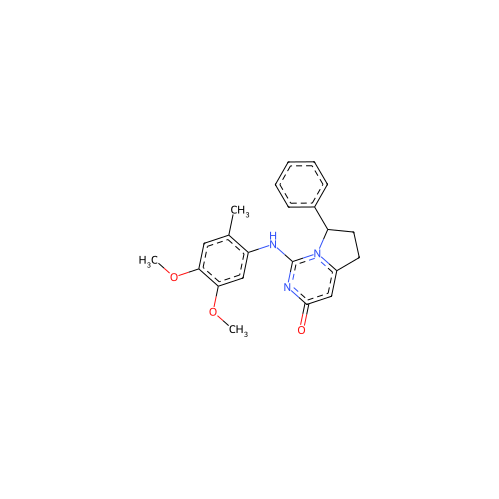 COc1cc(C)c(Nc2nc(=O)cc3n2C(c2ccccc2)CC3)cc1OC